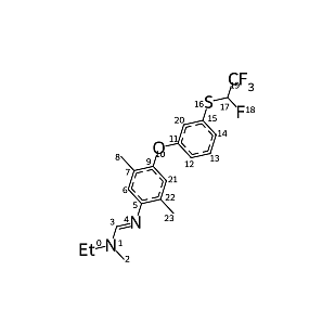 CCN(C)C=Nc1cc(C)c(Oc2cccc(SC(F)C(F)(F)F)c2)cc1C